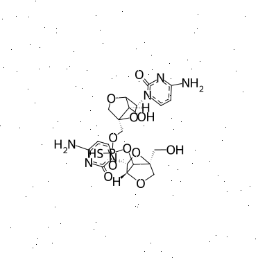 Nc1ccn([C@@H]2O[C@@]3(COP(=O)(S)OC4[C@@H]5OC[C@]4(CO)O[C@H]5n4ccc(N)nc4=O)COC2[C@H]3O)c(=O)n1